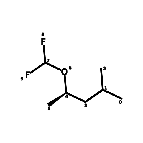 CC(C)C[C@@H](C)OC(F)F